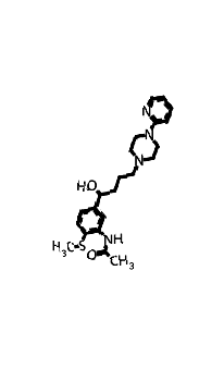 CSc1ccc(C(O)CCCN2CCN(c3ccccn3)CC2)cc1NC(C)=O